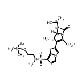 C[C@@H](O)[C@H]1C(=O)N2C(C(=O)O)=C(c3cn4cnc(S(=O)(=O)N(C)CCO[Si](C)(C)C(C)(C)C)c4s3)[C@H](C)[C@H]12